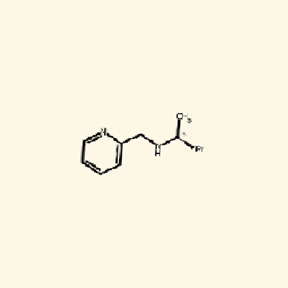 CC(C)[C@H](C)NCc1ccccn1